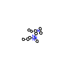 c1ccc(-c2ccc3cc(-c4nc(-c5ccccc5)nc(-c5ccc6c(-n7c8ccccc8c8ccccc87)ccc(-c7ccc8ccccc8c7)c6c5)n4)ccc3c2)cc1